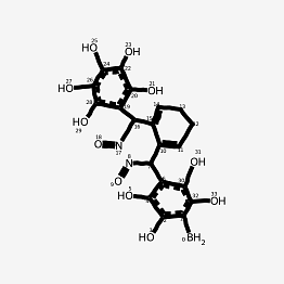 Bc1c(O)c(O)c(C(N=O)C2=CCCC=C2C(N=O)c2c(O)c(O)c(O)c(O)c2O)c(O)c1O